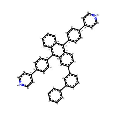 c1ccc(-c2cccc(-c3ccc4c(-c5ccc(-c6ccncc6)cc5)c5ccccc5c(-c5ccc(-c6ccncc6)cc5)c4c3)c2)cc1